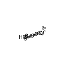 CCCCC(CC)COCCOCCOCCCCS(=O)(=O)O